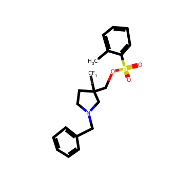 Cc1ccccc1S(=O)(=O)OCC1(C(F)(F)F)CCN(Cc2ccccc2)C1